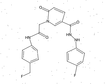 O=C(Cn1cc(C(=O)NNc2ccc(F)cc2)ccc1=O)Nc1ccc(CF)cc1